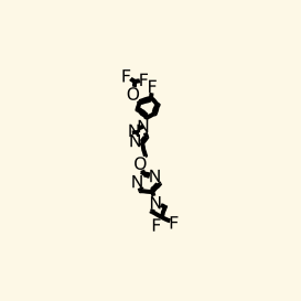 Fc1ccc(-n2cc(COc3ncc(N4CC(F)(F)C4)cn3)nn2)cc1OC(F)F